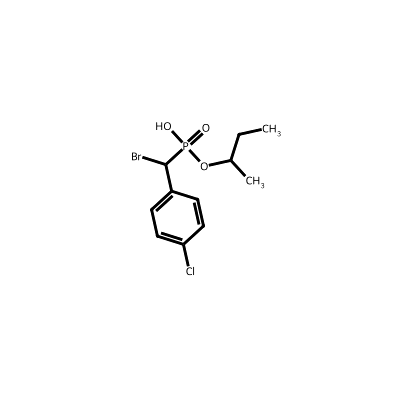 CCC(C)OP(=O)(O)C(Br)c1ccc(Cl)cc1